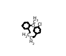 C=Cc1ccc(Cl)cc1.C=Cc1ccccc1OC